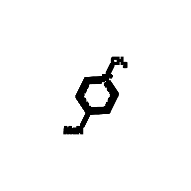 CNc1cc[n+](C)cc1